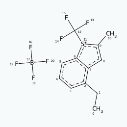 CCc1cccc2c1cc(C)[s+]2C(F)(F)F.F[B-](F)(F)F